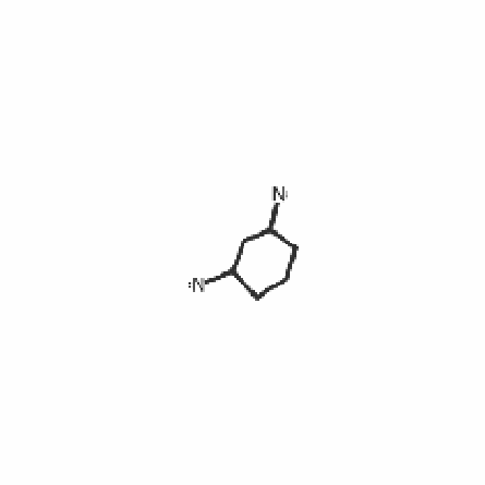 [N]C1CCCC([N])C1